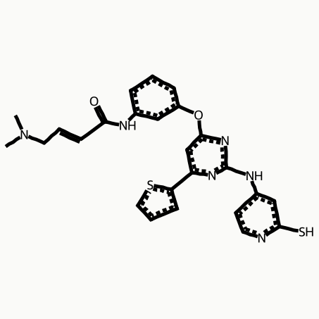 CN(C)C/C=C/C(=O)Nc1cccc(Oc2cc(-c3cccs3)nc(Nc3ccnc(S)c3)n2)c1